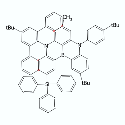 Cc1cc2c3c(c1)N(c1c(-c4ccccc4)cc(C(C)(C)C)cc1-c1ccccc1)c1ccc([Si](c4ccccc4)(c4ccccc4)c4ccccc4)cc1B3c1cc(C(C)(C)C)ccc1N2c1ccc(C(C)(C)C)cc1